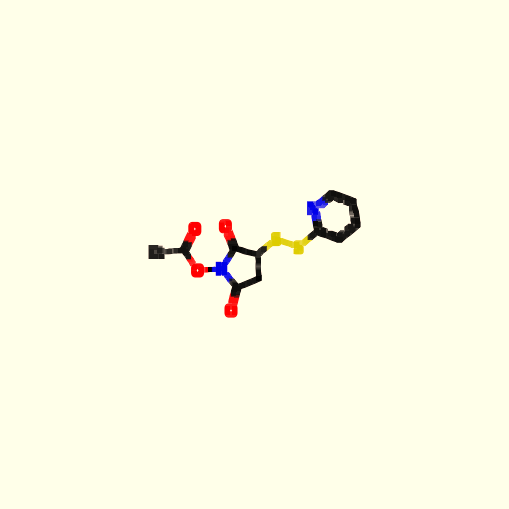 CCC(=O)ON1C(=O)CC(SSc2ccccn2)C1=O